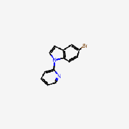 Brc1ccc2c(ccn2-c2ccccn2)c1